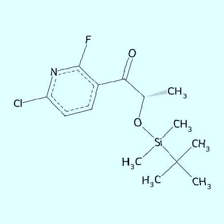 C[C@H](O[Si](C)(C)C(C)(C)C)C(=O)c1ccc(Cl)nc1F